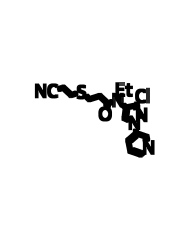 CCN(C(=O)CCSCCC#N)c1cn(-c2cccnc2)nc1Cl